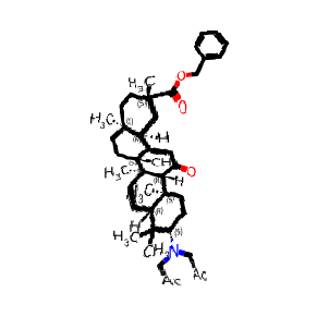 CC(=O)CN(CC(C)=O)[C@H]1CC[C@]2(C)[C@H]3C(=O)C=C4[C@@H]5C[C@@](C)(C(=O)OCc6ccccc6)CC[C@]5(C)CC[C@@]4(C)[C@]3(C)CC[C@H]2C1(C)C